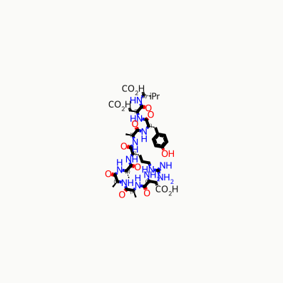 CC(C)[C@H](NC(=O)[C@H](CC(=O)O)NC(=O)[C@H](Cc1ccc(O)cc1)NC(=O)[C@H](C)NC(=O)[C@H](CCCNC(=N)N)NC(=O)[C@H](C)NC(=O)[C@H](C)NC(=O)[C@H](C)NC(=O)[C@@H](N)CC(=O)O)C(=O)O